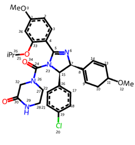 COc1ccc(C2=N[C@@H](C3=CCC(OC)C=C3)[C@@H](c3ccc(Cl)cc3)N2C(=O)N2CCNC(=O)C2)c(OC(C)C)c1